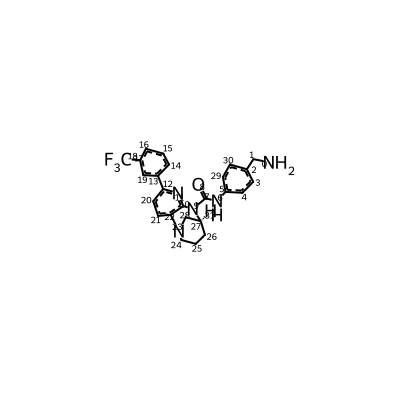 NCc1ccc(NC(=O)N2c3nc(-c4cccc(C(F)(F)F)c4)ccc3N3CCC[C@H]2C3)cc1